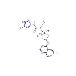 O=C(Nc1cc(C(F)(F)F)[nH]n1)C(C1CC1)C1[C@H]2CC(Oc3ccnc4ccc(F)cc34)C[C@@H]12